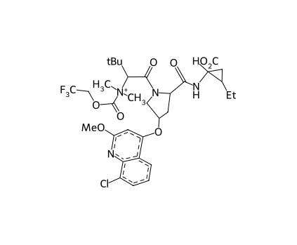 CCC1CC1(NC(=O)C1CC(Oc2cc(OC)nc3c(Cl)cccc23)CN1C(=O)C(C(C)(C)C)[N+](C)(C)C(=O)OCC(F)(F)F)C(=O)O